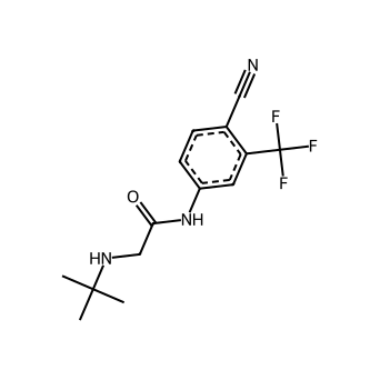 CC(C)(C)NCC(=O)Nc1ccc(C#N)c(C(F)(F)F)c1